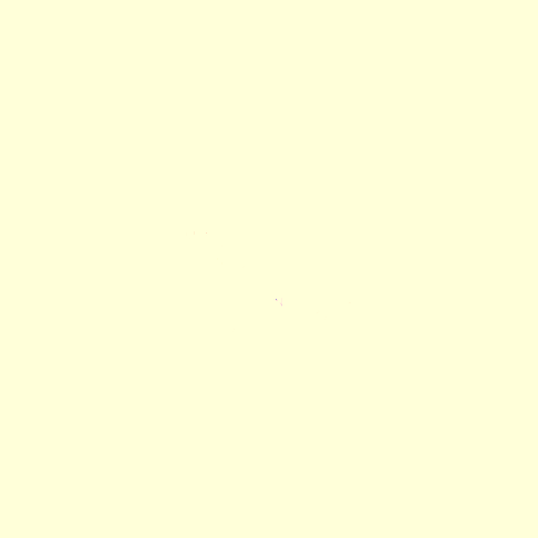 O=C(O)c1cc2c(s1)-c1ccccc1N(Cc1ccccc1)CC2